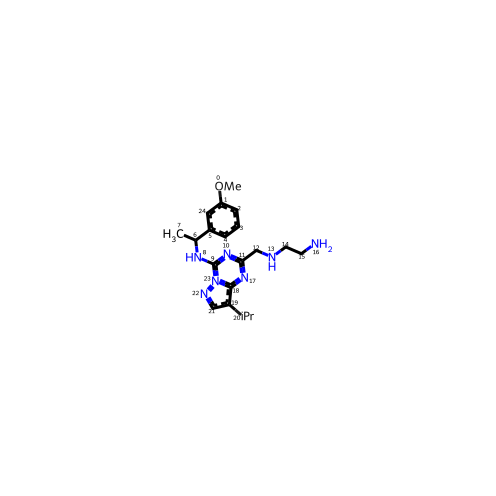 COc1cccc(C(C)Nc2nc(CNCCN)nc3c(C(C)C)cnn23)c1